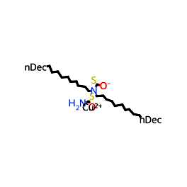 CCCCCCCCCCCCCCCCCCCCN(CCCCCCCCCCCCCCCCCCCC)C([O-])=S.NC([O-])=S.[Cu+2]